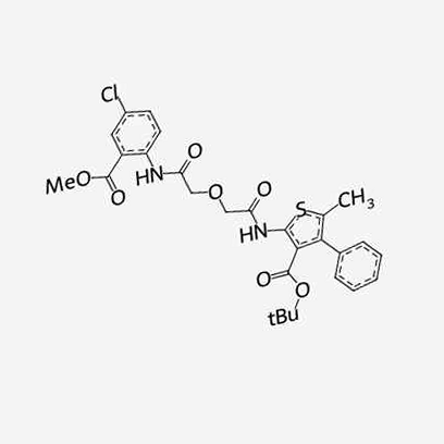 COC(=O)c1cc(Cl)ccc1NC(=O)COCC(=O)Nc1sc(C)c(-c2ccccc2)c1C(=O)OC(C)(C)C